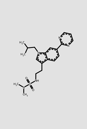 CC(C)Cn1cc(CCNS(=O)(=O)N(C)C)c2ccc(-c3ncccn3)cc21